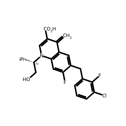 C=C1C(C(=O)O)=CN([C@H](CO)C(C)C)c2cc(F)c(Cc3cccc(Cl)c3F)cc21